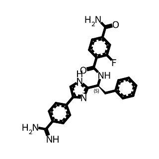 N=C(N)c1ccc(-c2c[nH]c([C@H](Cc3ccccc3)NC(=O)c3ccc(C(N)=O)cc3F)n2)cc1